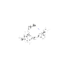 C=C[C@@H]1C[C@]1(NC(=O)[C@@H]1C[C@@H]2CN1C(=O)[C@H](C1CCCC1)NC(=O)O[C@@H]1CCC[C@H]1CC/C=C/Cc1c(nc3ccccc3c1OP(=O)(OCC)OCC)O2)C(=O)NS(=O)(=O)C1CC1